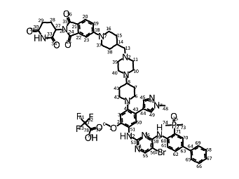 COc1cc(N2CCC(N3CCN(CC4CCN(c5ccc6c(c5)C(=O)N(C5CCC(=O)NC5=O)C6=O)CC4)CC3)CC2)c(-c2cnn(C)c2)cc1Nc1ncc(Br)c(Nc2ccc(-c3ccccc3)cc2P(C)(C)=O)n1.O=C(O)C(F)(F)F